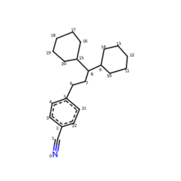 N#Cc1ccc(CCC(C2CCCCC2)C2CCCCC2)cc1